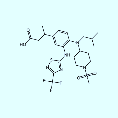 CC(C)CN(c1ccc(C(C)CC(=O)O)cc1Nc1nc(C(F)(F)F)ns1)C1CCN(S(C)(=O)=O)CC1